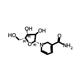 NC(=O)C1=CC=CN([C@@H]2O[C@H](CO)[C@H](O)C2O)C1